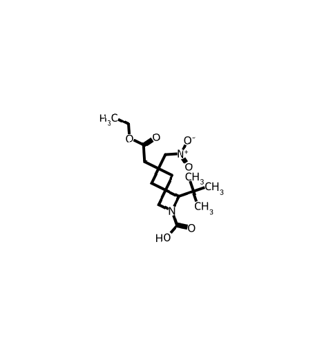 CCOC(=O)CC1(C[N+](=O)[O-])CC2(CN(C(=O)O)C2C(C)(C)C)C1